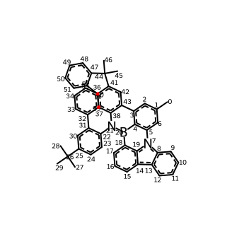 Cc1cc2c3c(c1)-n1c4ccccc4c4cccc(c41)B3N(c1ccc(C(C)(C)C)cc1-c1ccccc1)c1cc3c(cc1-2)C(C)(C)c1ccccc1-3